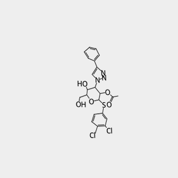 CC(=O)OC1C(Sc2ccc(Cl)c(Cl)c2)OC(CO)C(O)C1n1cc(-c2ccccc2)nn1